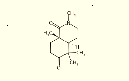 CN1CC[C@H]2C(C)(C)C(=O)CC[C@]2(C)C1=O